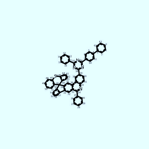 c1ccc(-c2ccc(-c3nc(-c4ccccc4)nc(-c4ccc5nc(-c6ccccc6)c6cc7c(cc6c5c4)C4(c5ccccc5Sc5ccccc54)c4ccccc4-7)n3)cc2)cc1